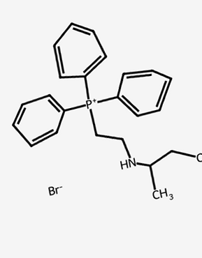 CCC(C)NCC[P+](c1ccccc1)(c1ccccc1)c1ccccc1.[Br-]